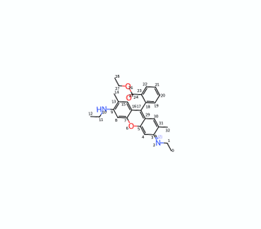 CC/N=c1/cc2oc3cc(NCC)c(C)cc3c(-c3ccccc3C(=O)OCC)c-2cc1C